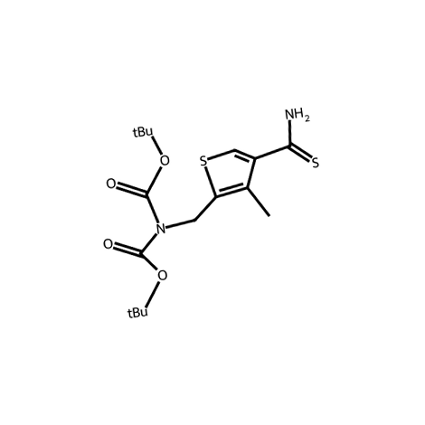 Cc1c(C(N)=S)csc1CN(C(=O)OC(C)(C)C)C(=O)OC(C)(C)C